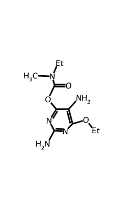 CCOc1nc(N)nc(OC(=O)N(C)CC)c1N